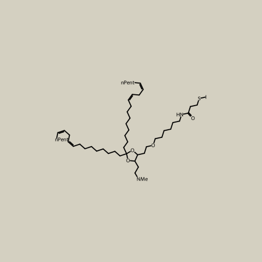 CCCCC/C=C\C/C=C\CCCCCCCCC1(CCCCCCCC/C=C\C/C=C\CCCCC)OC(CCNC)C(CCOCCCCCCNC(=O)CCSI)O1